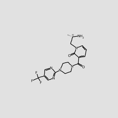 C[C@H](N)Cn1cccc(C(=O)N2CCN(c3ncc(C(F)(F)F)cn3)CC2)c1=O